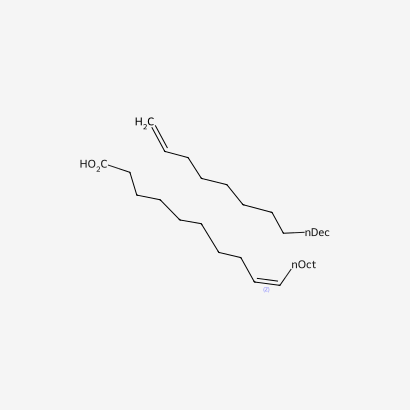 C=CCCCCCCCCCCCCCCCC.CCCCCCCC/C=C\CCCCCCCC(=O)O